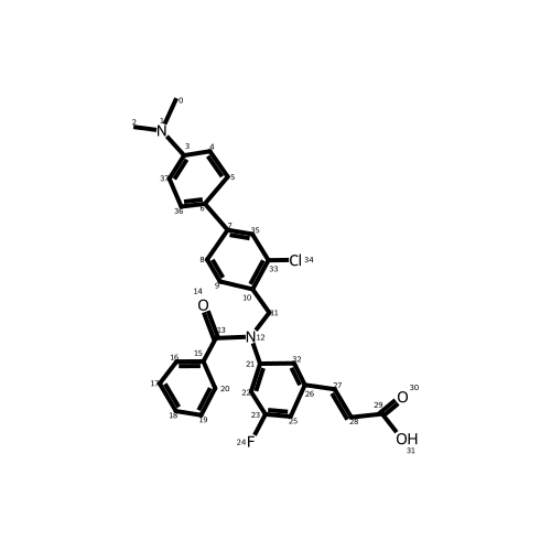 CN(C)c1ccc(-c2ccc(CN(C(=O)c3ccccc3)c3cc(F)cc(C=CC(=O)O)c3)c(Cl)c2)cc1